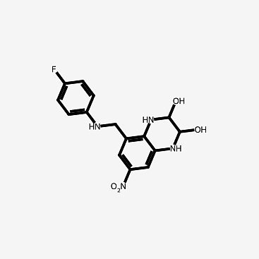 O=[N+]([O-])c1cc(CNc2ccc(F)cc2)c2c(c1)NC(O)C(O)N2